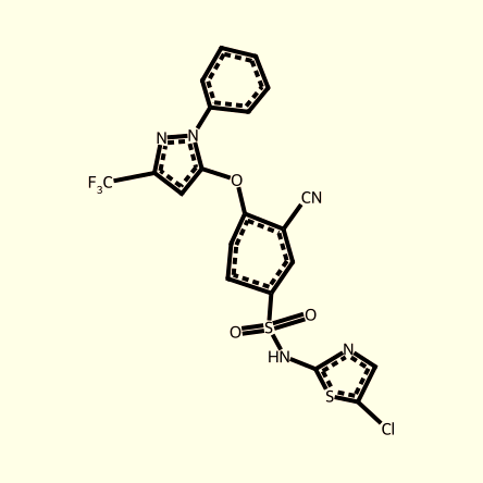 N#Cc1cc(S(=O)(=O)Nc2ncc(Cl)s2)ccc1Oc1cc(C(F)(F)F)nn1-c1ccccc1